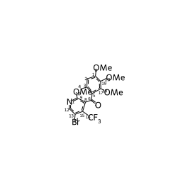 COc1cc(C)c(C(=O)c2c(OC)ncc(Br)c2C(F)(F)F)c(OC)c1OC